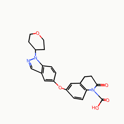 O=C(O)N1C(=O)CCc2cc(Oc3ccc4c(cnn4C4CCOCC4)c3)ccc21